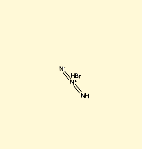 Br.[N-]=[N+]=N